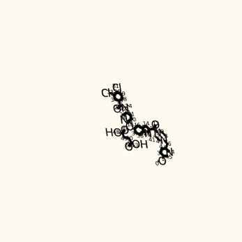 COc1ccc(CN2CCN(C(=O)c3cc4cc(Oc5ccc(N(C)C(=O)c6ccc(Cl)c(Cl)c6)cn5)ccc4n3C)CC2)nc1.O=C(O)C=CC(=O)O